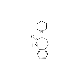 O=C1Nc2ccccc2CCC1N1CCCCC1